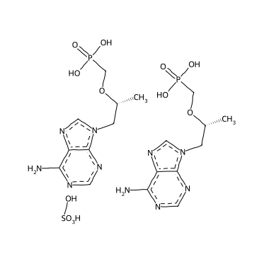 C[C@H](Cn1cnc2c(N)ncnc21)OCP(=O)(O)O.C[C@H](Cn1cnc2c(N)ncnc21)OCP(=O)(O)O.O=S(=O)(O)O